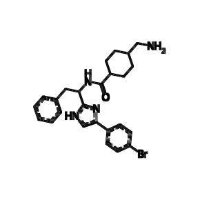 NCC1CCC(C(=O)NC(Cc2ccccc2)c2nc(-c3ccc(Br)cc3)c[nH]2)CC1